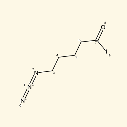 [N-]=[N+]=NCCCCC(=O)I